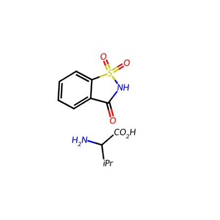 CC(C)C(N)C(=O)O.O=C1NS(=O)(=O)c2ccccc21